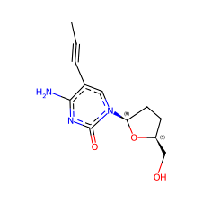 CC#Cc1cn([C@H]2CC[C@@H](CO)O2)c(=O)nc1N